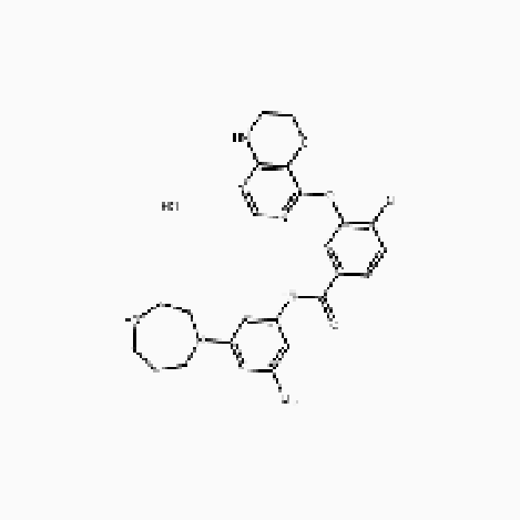 Cl.O=C(Nc1cc(N2CCCNCC2)cc(C(F)(F)F)c1)c1ccc(Cl)c(Oc2ncnc3c2OCCN3)c1